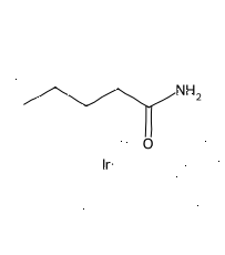 CCCCC(N)=O.[Ir]